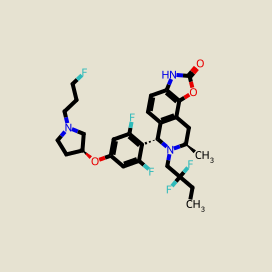 CCC(F)(F)CN1[C@H](c2c(F)cc(O[C@H]3CCN(CCCF)C3)cc2F)c2ccc3[nH]c(=O)oc3c2C[C@H]1C